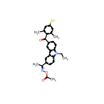 CCn1c2ccc(C(=O)c3c(C)cc(S)cc3C)cc2c2cc(/C(C)=N\OC(C)=O)ccc21